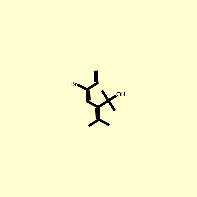 C=C/C(Br)=C\C(=C(C)C)C(C)(C)O